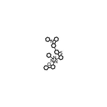 c1ccc(-c2nc(-c3cccc4c3oc3ccccc34)nc(-c3cccc4sc5cc(-c6ccc7c(c6)c6ccccc6n7-c6ccccc6)ccc5c34)n2)cc1